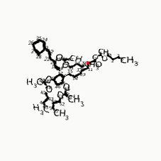 CCCCOC(C)OC(=O)CCC/C=C\C[C@@H]1[C@@H](/C=C/C(CCc2ccccc2)OC(C)OCCCC)[C@H](OC(C)OCCCC)C[C@@H]1OC(C)OCCCC